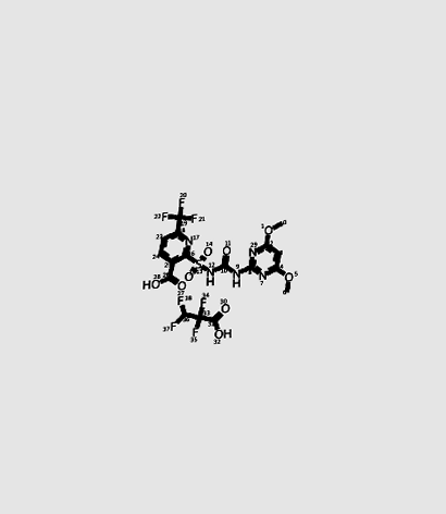 COc1cc(OC)nc(NC(=O)NS(=O)(=O)c2nc(C(F)(F)F)ccc2C(=O)O)n1.O=C(O)C(F)(F)C(F)F